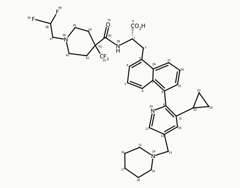 O=C(O)[C@H](Cc1cccc2c(-c3ncc(CN4CCCCC4)cc3C3CC3)cccc12)NC(=O)C1(C(F)(F)F)CCN(CC(F)F)CC1